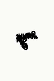 CCNC(=O)c1ccc(NC(=O)c2cc(C)cnc2N2CC3(CCOCC3)C2)cc1